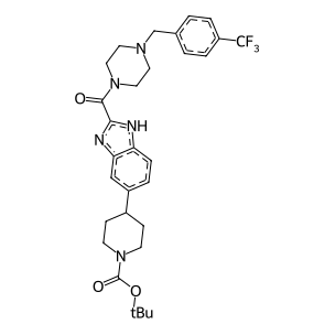 CC(C)(C)OC(=O)N1CCC(c2ccc3[nH]c(C(=O)N4CCN(Cc5ccc(C(F)(F)F)cc5)CC4)nc3c2)CC1